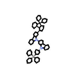 c1ccc(C2(c3ccccc3)c3ccccc3-c3c(-c4ccc5c6ccccc6n(-c6ccc7c8ccccc8n(-c8ccc([Si](c9ccccc9)(c9ccccc9)c9ccccc9)cc8)c7c6)c5c4)cccc32)cc1